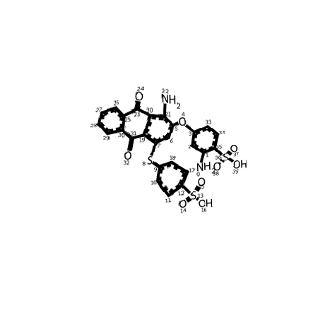 Nc1cc(Oc2cc(Sc3ccc(S(=O)(=O)O)cc3)c3c(c2N)C(=O)c2ccccc2C3=O)ccc1S(=O)(=O)O